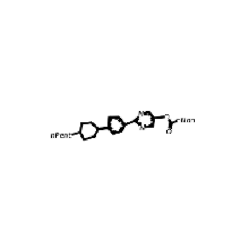 CCCCCCCCCC(=O)Oc1cnc(-c2ccc(C3CCC(CCCCC)CC3)cc2)nc1